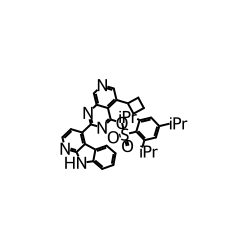 CC(C)c1cc(C(C)C)c(S(=O)(=O)Oc2nc(-c3ccnc4[nH]c5ccccc5c34)nc3cncc(C4CCC4)c23)c(C(C)C)c1